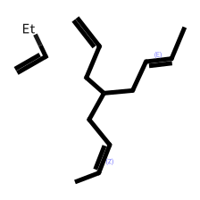 C=CCC.C=CCC(C/C=C\C)C/C=C/C